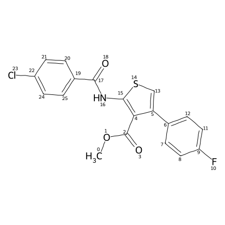 COC(=O)c1c(-c2ccc(F)cc2)csc1NC(=O)c1ccc(Cl)cc1